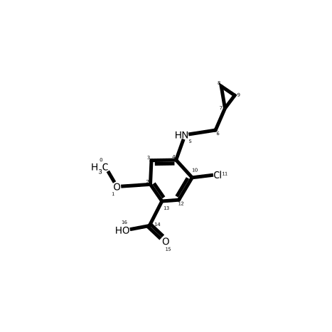 COc1cc(NCC2CC2)c(Cl)cc1C(=O)O